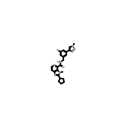 Cn1cc(-c2cc(F)cc(CNC(=O)c3nccc4nc(C5CCCC5)n(C)c34)c2)nn1